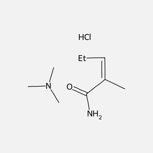 CCC=C(C)C(N)=O.CN(C)C.Cl